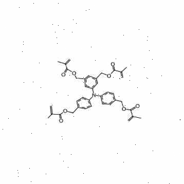 C=C(C)C(=O)OCc1ccc(N(c2ccc(COC(=O)C(=C)C)cc2)c2cc(COC(=O)C(=C)C)cc(COC(=O)C(=C)C)c2)cc1